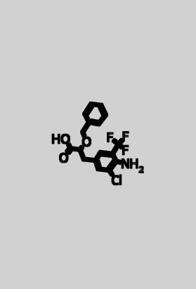 Nc1c(Cl)cc(CC(OCc2ccccc2)C(=O)O)cc1C(F)(F)F